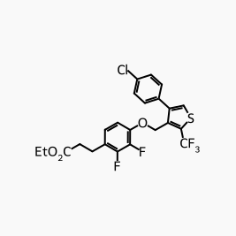 CCOC(=O)CCc1ccc(OCc2c(-c3ccc(Cl)cc3)csc2C(F)(F)F)c(F)c1F